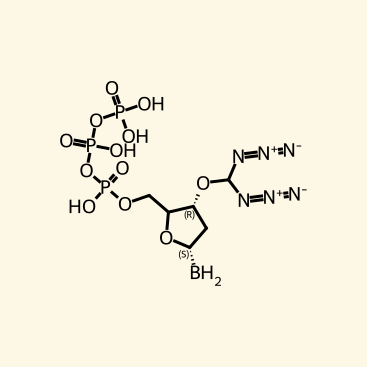 B[C@H]1C[C@@H](OC(N=[N+]=[N-])N=[N+]=[N-])C(COP(=O)(O)OP(=O)(O)OP(=O)(O)O)O1